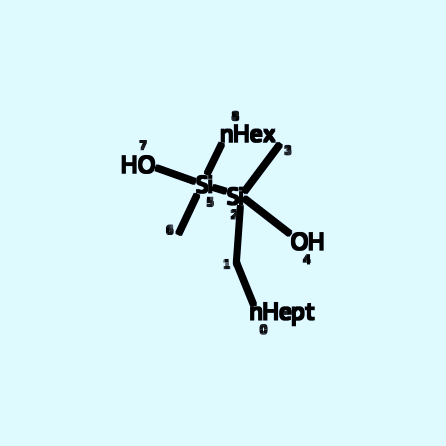 CCCCCCCC[Si](C)(O)[Si](C)(O)CCCCCC